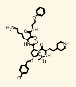 CS(=O)(=O)N[C@H](CCC1CCNCC1)C(=O)N1C[C@H](OCc2ccc(Cl)cc2)C[C@H]1C(=O)N[C@@H](CCCCN)C(=O)C(=O)NCCOc1ccccc1